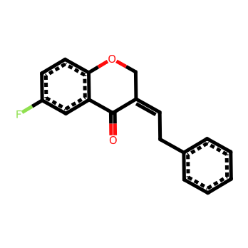 O=C1C(=CCc2ccccc2)COc2ccc(F)cc21